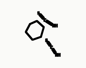 C1CCCCC1.N=C=S.N=C=S